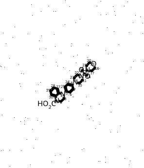 O=C(O)N1CCN(c2ccc(N3CCN(S(=O)(=O)N4CCOCC4)CC3)cc2)c2ccccc21